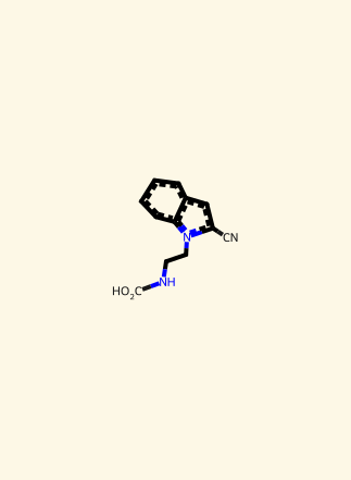 N#Cc1cc2ccccc2n1CCNC(=O)O